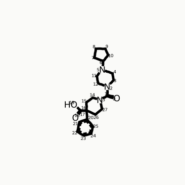 O=C(N1CCN(C2CCCC2)CC1)N1CCC(C(=O)O)(c2ccccc2)CC1